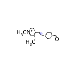 CCc1c[n+](C)ccc1/C=C/c1ccc(C=O)cc1